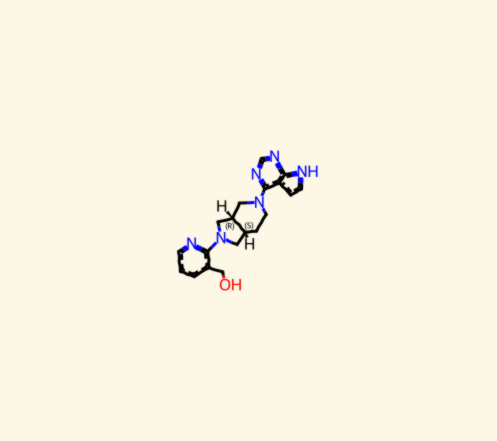 OCc1cccnc1N1C[C@H]2CCN(c3ncnc4[nH]ccc34)C[C@H]2C1